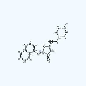 Cc1ccc(CNC2=NC(=O)/C(=C/c3cccc4ccccc34)S2)cc1